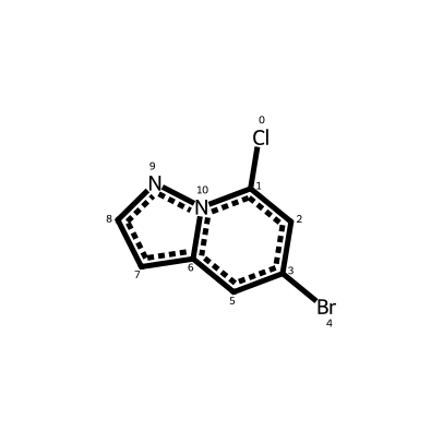 Clc1cc(Br)cc2ccnn12